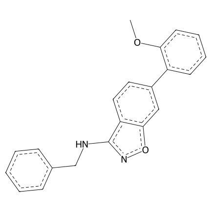 COc1ccccc1-c1ccc2c(NCc3ccccc3)noc2c1